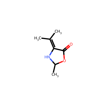 CC(C)=C1NC(C)OC1=O